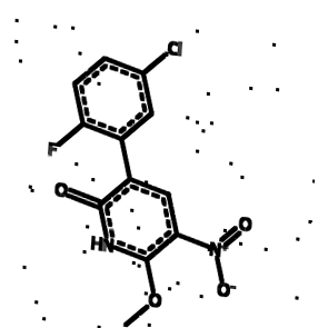 COc1[nH]c(=O)c(-c2cc(Cl)ccc2F)cc1[N+](=O)[O-]